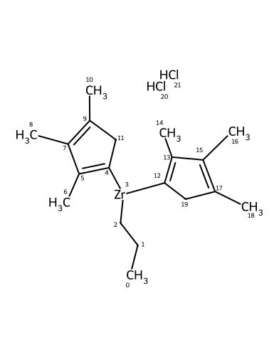 CC[CH2][Zr]([C]1=C(C)C(C)=C(C)C1)[C]1=C(C)C(C)=C(C)C1.Cl.Cl